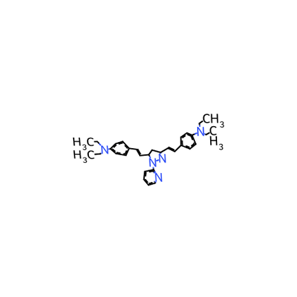 CCN(CC)c1ccc(C=CC2=NN(c3ccccn3)C(C=Cc3ccc(N(CC)CC)cc3)C2)cc1